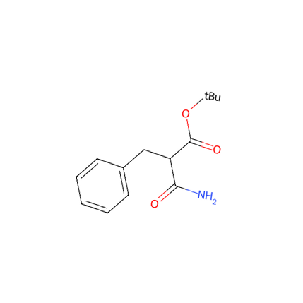 CC(C)(C)OC(=O)C(Cc1ccccc1)C(N)=O